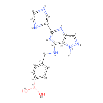 Cn1ncc2nc(-c3cnccn3)nc(NCc3ccc(B(O)O)cc3)c21